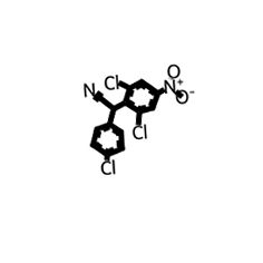 N#CC(c1ccc(Cl)cc1)c1c(Cl)cc([N+](=O)[O-])cc1Cl